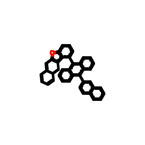 C1=CC2=Cc3oc4cccc(-c5c6ccccc6c(-c6ccc7ccccc7c6)c6ccccc56)c4c3CC2C=C1